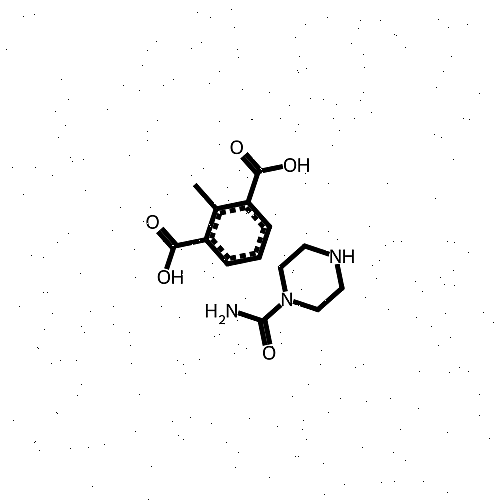 Cc1c(C(=O)O)cccc1C(=O)O.NC(=O)N1CCNCC1